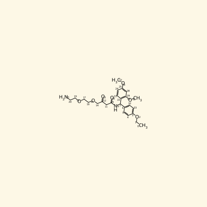 CCOc1ccc(C(NC(=O)CC(=O)COCCOCCN)c2ccc(OC)cc2OC)cc1